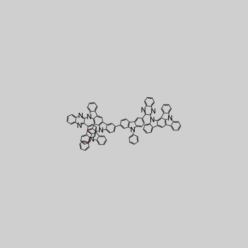 c1ccc(-n2c3ccc(-c4nc5ccccc5nc4-n4c5ccccc5c5cc6c7ccccc7n7c8ccccc8c(c54)c67)cc3c3ccc(-c4ccc5c(c4)c4cc6c7ccccc7n(-c7nc8ccccc8nc7-c7ccc8c9ccccc9n(-c9ccccc9)c8c7)c6c6c7cc8ccccc8cc7n5c46)cc32)cc1